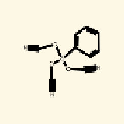 N#CO[Si](OC#N)(OC#N)c1ccccc1